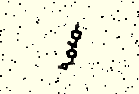 O=C(Nc1ccc(Cl)cc1)c1ccc(OC2CNC2)cc1